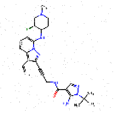 C=Cc1c(C#CCNC(=O)c2cnn(C(C)(C)C)c2N)nn2c(N[C@@H]3CCN(C)C[C@@H]3F)cccc12